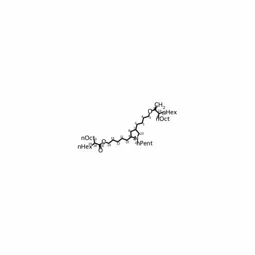 C=C(OCCCCC1CC(CCCCCOC(=O)C(CCCCCC)CCCCCCCC)N(CCCCC)C1)C(CCCCCC)CCCCCCCC